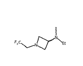 CCN(C)C1CN(CC(F)(F)F)C1